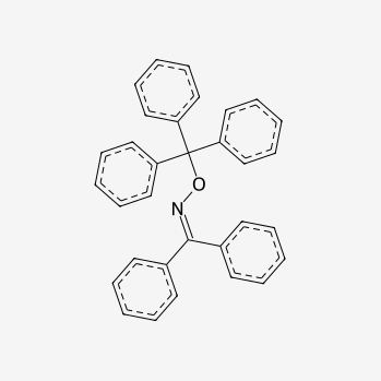 c1ccc(C(=NOC(c2ccccc2)(c2ccccc2)c2ccccc2)c2ccccc2)cc1